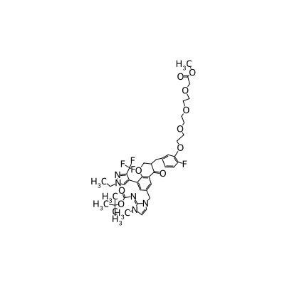 CCn1cc(-c2cc(Cn3ccn(C)c3=NC(=O)OC(C)(C)C)cc3c2OCC(Cc2ccc(F)c(OCCOCCOCCOCC(=O)OC)c2)C3=O)c(C(F)(F)F)n1